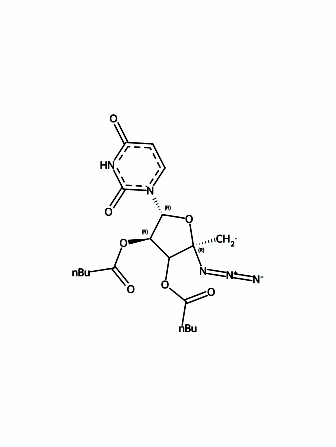 [CH2][C@@]1(N=[N+]=[N-])O[C@@H](n2ccc(=O)[nH]c2=O)[C@H](OC(=O)CCCC)C1OC(=O)CCCC